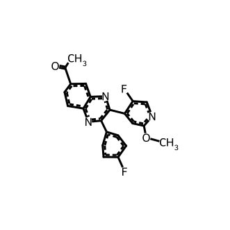 COc1cc(-c2nc3cc(C(C)=O)ccc3nc2-c2ccc(F)cc2)c(F)cn1